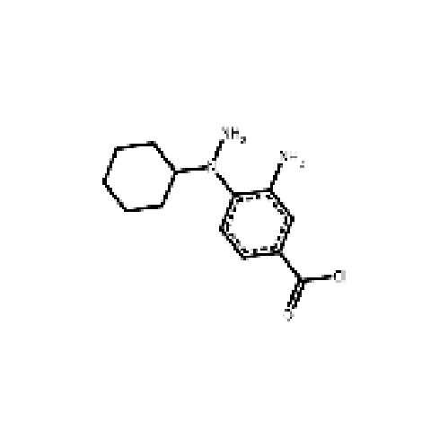 Nc1cc(C(=O)Cl)ccc1N(N)C1CCCCC1